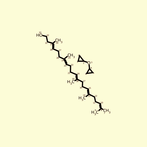 C1CC1OC1CC1.CC(C)=CCC/C(C)=C/CC/C(C)=C/CC/C=C(\C)CC/C=C(\C)CCO